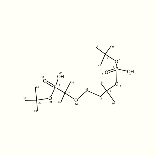 CC(C)(C)OP(=O)(O)OC(C)(C)CCOC(C)(C)P(=O)(O)OC(C)(C)C